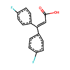 O=C(O)C=C(c1ccc(F)cc1)c1ccc(F)cc1